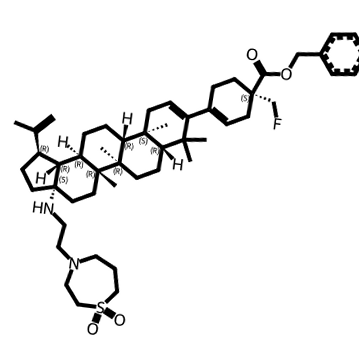 C=C(C)[C@@H]1CC[C@]2(NCCN3CCCS(=O)(=O)CC3)CC[C@]3(C)[C@H](CC[C@@H]4[C@@]5(C)CC=C(C6=CC[C@](CF)(C(=O)OCc7ccccc7)CC6)C(C)(C)[C@@H]5CC[C@]43C)[C@@H]12